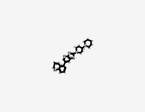 c1cc(-c2cnc3nc(N4CCC(N5CCCCC5)CC4)sc3c2)c2cccnc2c1